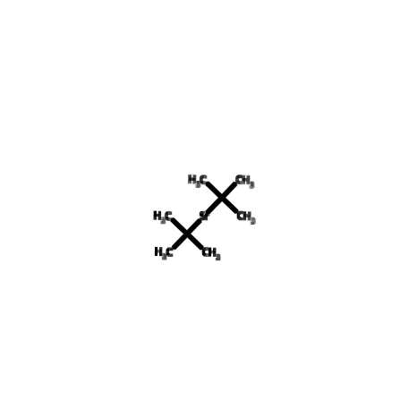 C[C](C)(C)[Sr][C](C)(C)C